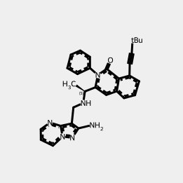 C[C@H](NCc1c(N)nn2cccnc12)c1cc2cccc(C#CC(C)(C)C)c2c(=O)n1-c1ccccc1